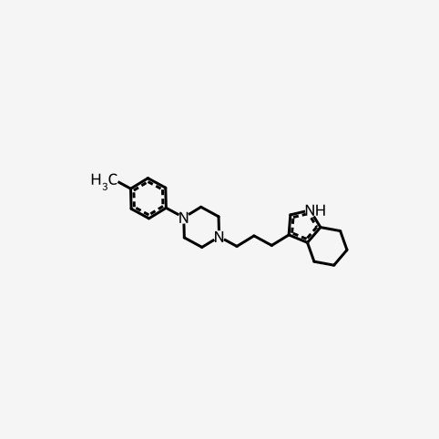 Cc1ccc(N2CCN(CCCc3c[nH]c4c3CCCC4)CC2)cc1